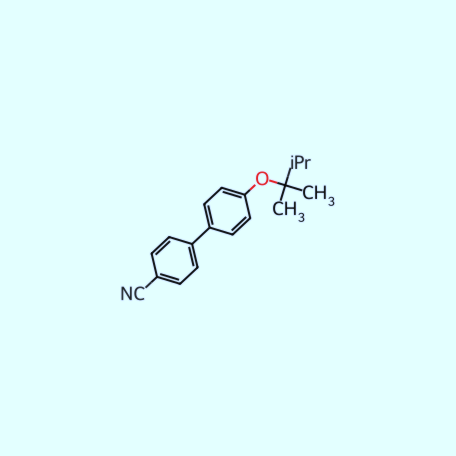 CC(C)C(C)(C)Oc1ccc(-c2ccc(C#N)cc2)cc1